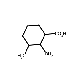 BC1C(C)CCCC1C(=O)O